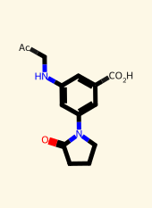 CC(=O)CNc1cc(C(=O)O)cc(N2CCCC2=O)c1